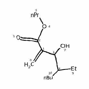 C=C(C(=O)OCCC)C(O)C(CC)CCCC